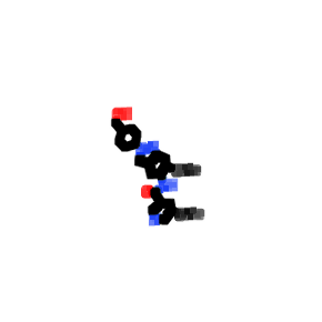 COc1cncc(C(=O)Nc2cc3cn(C4CCC(CO)CC4)nc3cc2OC)c1